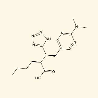 CCCC[C@H](C(=O)O)[C@H](Cc1cnc(N(C)C)nc1)c1nnn[nH]1